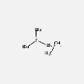 CC.CC(C)(C)P(C(C)(C)C)C(C)(C)C